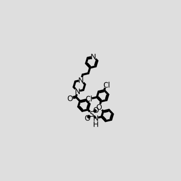 O=C(c1ccc(S(=O)(=O)Nc2ccccc2Oc2ccc(Cl)cc2Cl)cc1)N1CCN(CCc2ccncc2)CC1